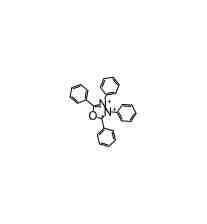 c1ccc(-c2oc(-c3ccccc3)[n+](-c3ccccc3)[n+]2-c2ccccc2)cc1